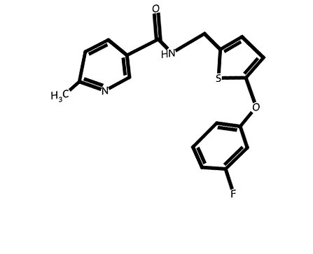 Cc1ccc(C(=O)NCc2ccc(Oc3cccc(F)c3)s2)cn1